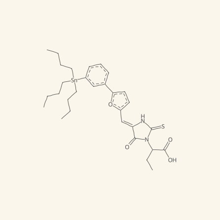 CCC[CH2][Sn]([CH2]CCC)([CH2]CCC)[c]1cccc(-c2ccc(/C=C3\NC(=S)N(C(CC)C(=O)O)C3=O)o2)c1